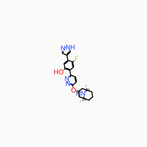 C[C@]12CCC[C@](C)(C[C@@H](Oc3ccc(-c4cc(F)c(-c5cn[nH]c5)cc4O)nn3)C1)N2